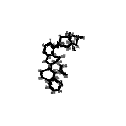 CN1C[C@@H]2CN(c3cccc4c3C[C@H](CN(C)[C@H]3CCCc5cccnc53)NC4)C[C@@H]2C1